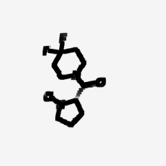 O=C([C@@H]1CCCN1Cl)N1CCC(F)(F)CC1